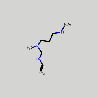 C=CNCN(C)CCCNNC